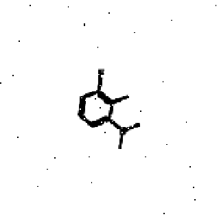 CB(C)c1cccc(F)c1C